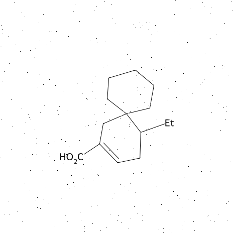 CCC1CC=C(C(=O)O)CC12CCCCC2